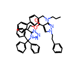 CCCN(Cc1ccc(-c2ccccc2-c2nnnn2C(c2ccccc2)(c2ccccc2)c2ccccc2)cc1)c1nn(CCc2ccccc2)cc1C(=O)OCC